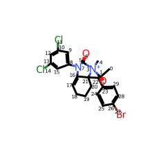 CC(=O)[N+]1(C)C(=O)N(c2cc(Cl)cc(Cl)c2)C2=CCCCC21Cc1ccc(Br)cc1